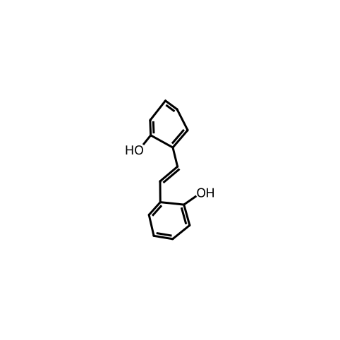 Oc1ccccc1C=Cc1ccccc1O